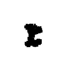 CC1(C)c2ccccc2-c2ccc(N(c3ccc(-c4cccnc4)cc3)c3ccc(-c4ccc5c(c4)c4cc6c(ccn6-c6ccccc6)cc4n5-c4ccccc4)cc3)cc21